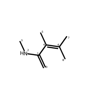 C=C(NC)C(C)=C(C)C